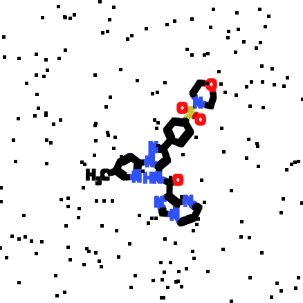 Cc1ccc(-n2nc(-c3ccc(S(=O)(=O)N4CCOCC4)cc3)cc2NC(=O)c2ncn3cccnc23)nc1